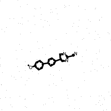 COc1ccc(-c2ccc(-c3cnc(C#N)nc3)cc2)cc1